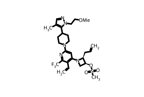 C=CC[C@H]1[C@@H](OS(C)(=O)=O)CN1c1cc(N2CCC(c3c(C)cnn3CCOC)CC2)nc(C(F)(F)F)c1C=C